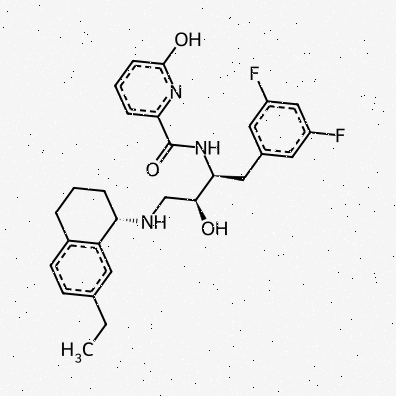 CCc1ccc2c(c1)[C@@H](NC[C@H](O)[C@H](Cc1cc(F)cc(F)c1)NC(=O)c1cccc(O)n1)CCC2